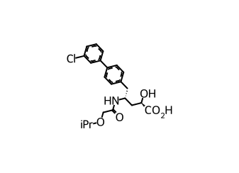 CC(C)OCC(=O)N[C@H](Cc1ccc(-c2cccc(Cl)c2)cc1)C[C@@H](O)C(=O)O